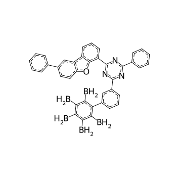 Bc1c(B)c(B)c(-c2cccc(-c3nc(-c4ccccc4)nc(-c4cccc5c4oc4ccc(-c6ccccc6)cc45)n3)c2)c(B)c1B